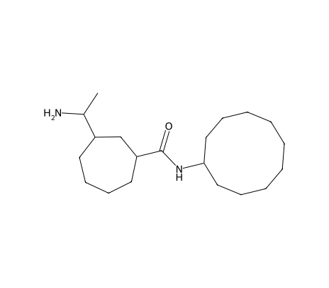 CC(N)C1CCCCC(C(=O)NC2CCCCCCCCC2)C1